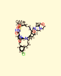 CCO[C@@]1(CN2CCN3CCOC[C@@H]3C2)/C=C/C[C@H](C)[C@@H](CCOC)S(=O)(=O)NC(=O)c2ccc3c(n2)N(CCCCc2cc(Cl)ccc2CO3)C[C@@H]2CCC21